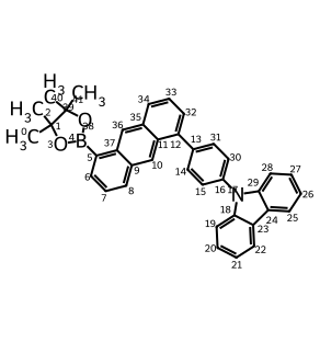 CC1(C)OB(c2cccc3cc4c(-c5ccc(-n6c7ccccc7c7ccccc76)cc5)cccc4cc23)OC1(C)C